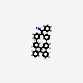 N#C/C(=C(/c1ccccc1)c1cccc(-c2cccc(C(=C(c3ccccc3)c3ccccc3)c3ccccc3)c2)c1)c1ccccc1